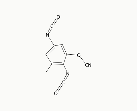 Cc1cc(N=C=O)cc(OC#N)c1N=C=O